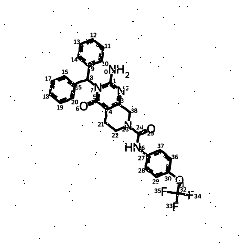 Nc1nc2c(c(=O)n1C(c1ccccc1)c1ccccc1)CCN(C(=O)Nc1ccc(OC(F)(F)F)cc1)C2